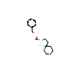 O=C(OCc1ccccc1)N1CCC2(CCCCC2)N1